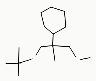 [CH2]C(COC)(COC(C)(C)C)C1CCCCC1